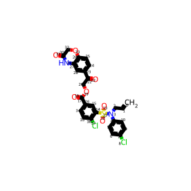 C=CCN(c1ccc(Cl)cc1)S(=O)(=O)c1cc(C(=O)OCC(=O)c2ccc3c(c2)NC(=O)CO3)ccc1Cl